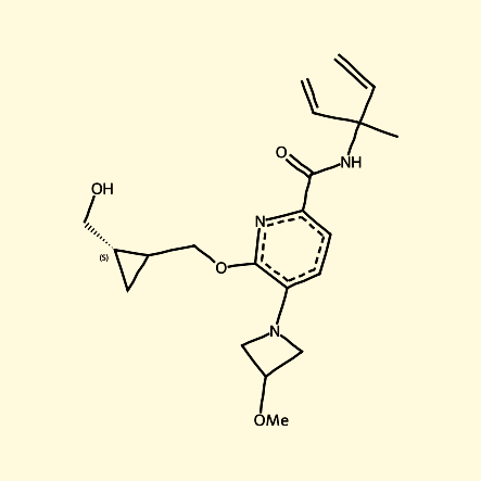 C=CC(C)(C=C)NC(=O)c1ccc(N2CC(OC)C2)c(OCC2C[C@@H]2CO)n1